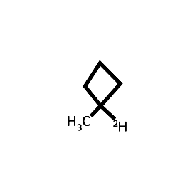 [2H]C1(C)CCC1